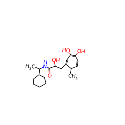 CC1C=CC(O)=C(O)C=C1CC(O)C(=O)NC(C)C1CCCCC1